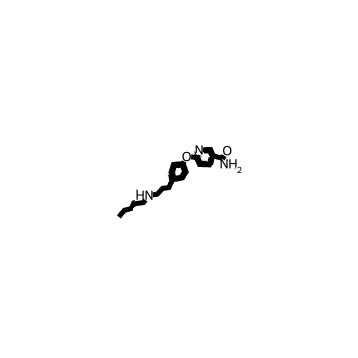 CCCCCNCCCc1ccc(Oc2ccc(C(N)=O)cn2)cc1